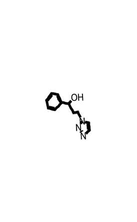 OC(CCn1ccnn1)c1ccccc1